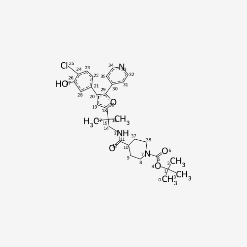 CC(C)(C)OC(=O)N1CCC(C(=O)NCC(C)(C)c2cc(-c3ccc(Cl)c(O)c3)c(-c3ccncc3)o2)CC1